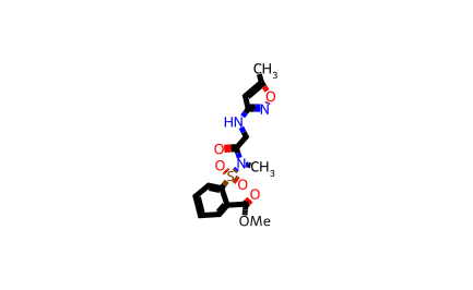 COC(=O)c1ccccc1S(=O)(=O)N(C)C(=O)CNc1cc(C)on1